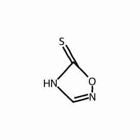 S=c1[nH]cno1